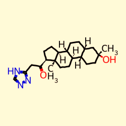 C[C@@]1(O)CC[C@H]2[C@H](CC[C@@H]3[C@@H]2CC[C@]2(C)[C@@H](C(=O)Cc4nnc[nH]4)CC[C@@H]32)C1